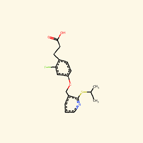 CC(C)Sc1ncccc1COc1ccc(CCC(=O)O)c(F)c1